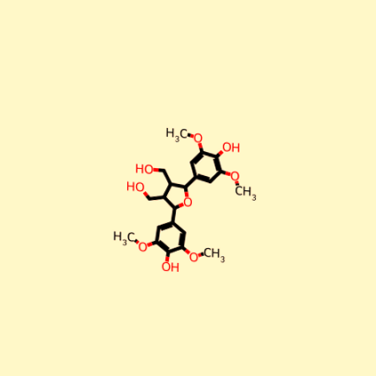 COc1cc(C2OC(c3cc(OC)c(O)c(OC)c3)C(CO)C2CO)cc(OC)c1O